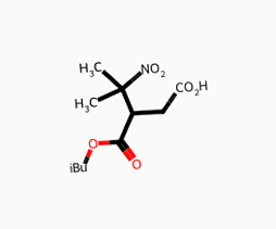 CCC(C)OC(=O)C(CC(=O)O)C(C)(C)[N+](=O)[O-]